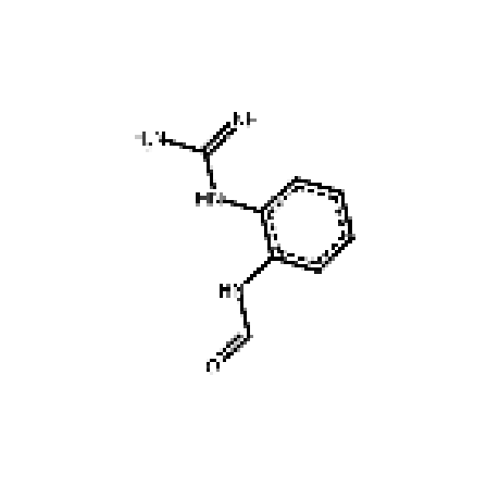 N=C(N)Nc1ccccc1NC=O